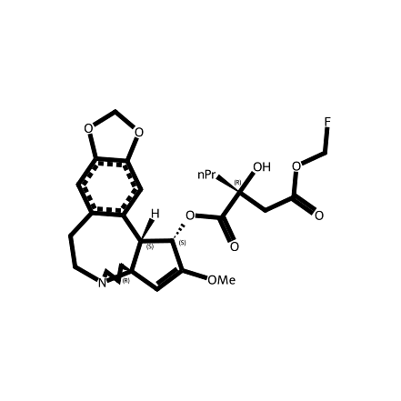 CCC[C@@](O)(CC(=O)OCF)C(=O)O[C@@H]1C(OC)=C[C@]23CCCN2CCc2cc4c(cc2[C@H]13)OCO4